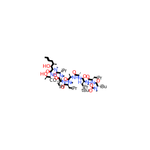 C/C=C/C[C@@H](C)[C@@H](O)[C@@H](C(=O)N[C@H](C(=O)O)[C@@H](C)O)N(C)C(=O)[C@H](C(C)C)N(C)C(=O)[C@H](CC(C)C)NC(=O)[C@H](CC(C)C)N(C)C(=O)[C@@H](C)NC(=O)[C@H](C)NC(=O)[C@H](CC(C)C)N(C)C(=O)[C@H](CC(C)C)NC(=O)[C@H](C(C)CC)N(C)C(=O)OC(C)(C)C